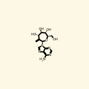 C=C1[C@H](n2cnc3c(N)ncnc32)O[C@H](CO)[C@@H](O)[C@H](O)[C@H]1O